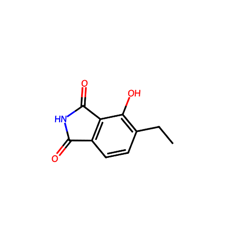 CCc1ccc2c(c1O)C(=O)NC2=O